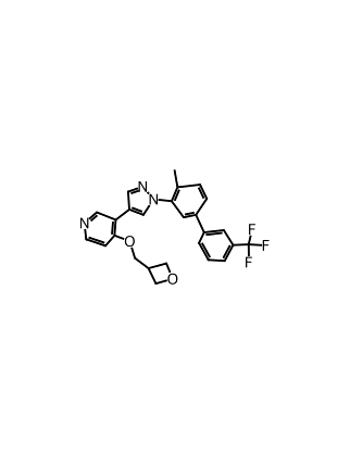 Cc1ccc(-c2cccc(C(F)(F)F)c2)cc1-n1cc(-c2cnccc2OCC2COC2)cn1